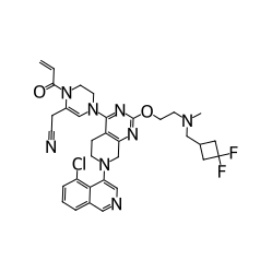 C=CC(=O)N1CCN(c2nc(OCCN(C)CC3CC(F)(F)C3)nc3c2CCN(c2cncc4cccc(Cl)c24)C3)C=C1CC#N